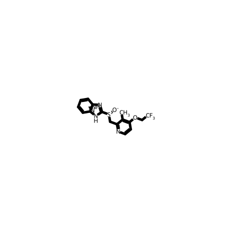 Cc1c(OCC(F)(F)F)ccnc1C[S+]([O-])C1=NC23C=CC=CC2(N=CN3)N1